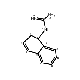 N=C(N)N[C]1CC=Cc2ccccc21